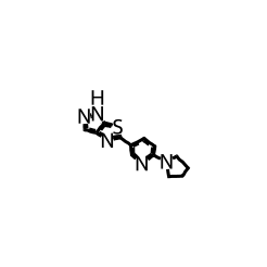 c1cc(N2CCCC2)ncc1-c1nc2cn[nH]c2s1